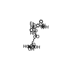 CCOc1nc2cccc(C(=O)NCC(=O)OCCCCC(CON(O)O)ON(O)O)c2n1Cc1ccc(-c2ccccc2-c2nn[nH]n2)cc1